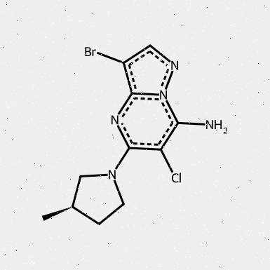 C[C@@H]1CCN(c2nc3c(Br)cnn3c(N)c2Cl)C1